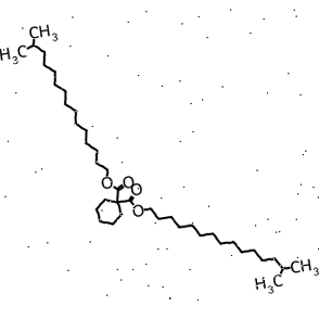 CC(C)CCCCCCCCCCCCCOC(=O)C1(C(=O)OCCCCCCCCCCCCCC(C)C)CCCCC1